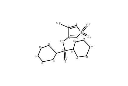 O=P(OC1=CS(=O)(=O)C=C1F)(C1CCCCC1)C1CCCCC1